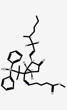 CCCCC(C)C(F)(F)/C=C/[C@H]1C(=O)C[C@H]2[C@@H]1C2(/C=C\CCCC(=O)OC)C(C)(C)[Si](O)(c1ccccc1)c1ccccc1